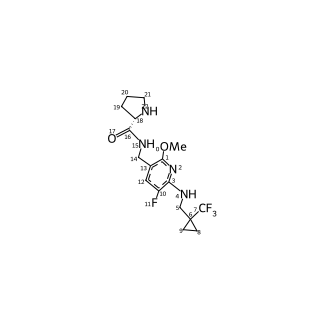 COc1nc(NCC2(C(F)(F)F)CC2)c(F)cc1CNC(=O)[C@@H]1CCCN1